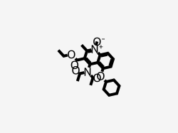 CCOC(=O)c1c(N(C(C)=O)C(C)=O)c2c(OC3CCCCC3)cccc2[n+]([O-])c1C